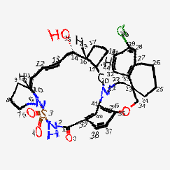 O=C1NS(=O)(=O)N2CCC[C@@H]2C/C=C/[C@H](O)[C@@H]2CC[C@H]2CN2C[C@@]3(CCCc4cc(Cl)ccc43)COc3ccc1cc32